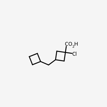 O=C(O)C1(Cl)CC(CC2CCC2)C1